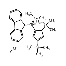 C[Si](C)=[Ti+2]([C]1=CC([Si](C)(C)C)=CC1[Si](C)(C)C)[CH]1c2ccccc2-c2ccccc21.[Cl-].[Cl-]